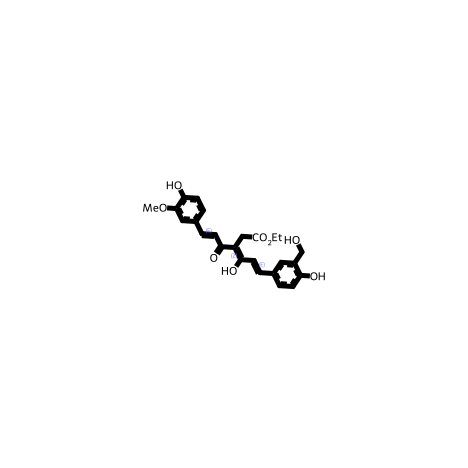 CCOC(=O)C/C(C(=O)/C=C/c1ccc(O)c(OC)c1)=C(O)\C=C\c1ccc(O)c(CO)c1